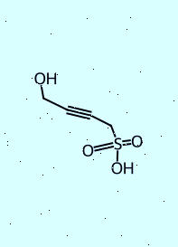 O=S(=O)(O)CC#CCO